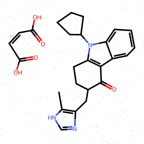 Cc1[nH]cnc1CC1CCc2c(c3ccccc3n2C2CCCC2)C1=O.O=C(O)/C=C\C(=O)O